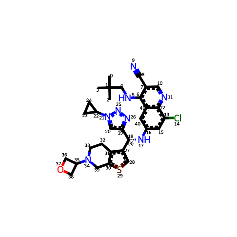 CC(C)(C)CNc1c(C#N)cnc2c(Cl)cc(N[C@@H](c3cn(C4CC4)nn3)c3csc4c3CCN(C3COC3)C4)cc12